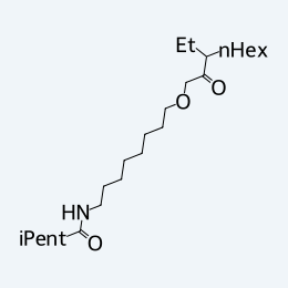 CCCCCCC(CC)C(=O)COCCCCCCCCNC(=O)C(C)CCC